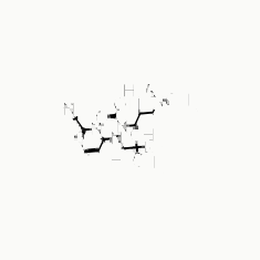 CN(C)CCCN(C(=O)O)N(CC(C)(C)C)c1ccnc(C#N)n1